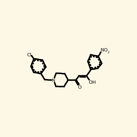 O=C(C=C(O)c1ccc([N+](=O)[O-])cc1)C1CCN(Cc2ccc(Cl)cc2)CC1